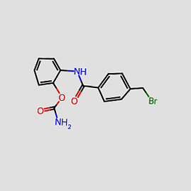 NC(=O)Oc1ccccc1NC(=O)c1ccc(CBr)cc1